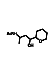 CC(=O)NC(C)CC(O)C1CCCCO1